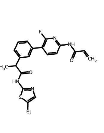 C=CC(=O)Nc1ccc(-c2cccc(C(C)C(=O)Nc3ncc(CC)s3)c2)c(F)n1